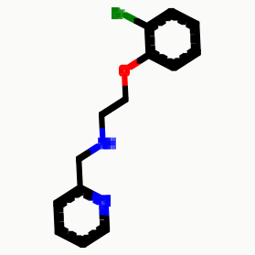 Brc1ccccc1OCCNCc1ccccn1